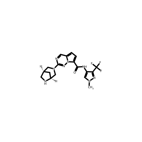 Cn1cc(NC(=O)c2ccc3cnc(N4C[C@@H]5CN[C@@H](C5)C4)nn23)c(C(F)(F)F)n1